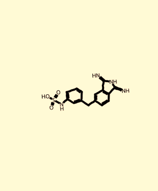 N=C1NC(=N)c2cc(Cc3cccc(NS(=O)(=O)O)c3)ccc21